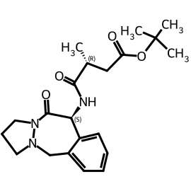 C[C@H](CC(=O)OC(C)(C)C)C(=O)N[C@@H]1C(=O)N2CCCN2Cc2ccccc21